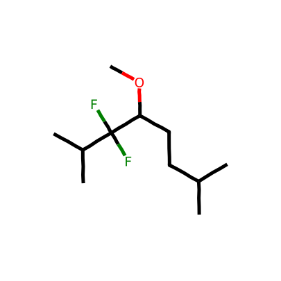 COC(CCC(C)C)C(F)(F)C(C)C